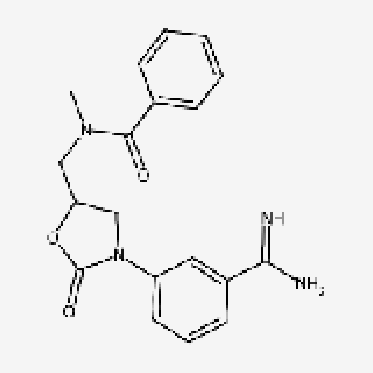 CN(CC1CN(c2cccc(C(=N)N)c2)C(=O)O1)C(=O)c1ccccc1